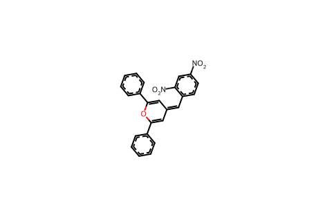 O=[N+]([O-])c1ccc(C=C2C=C(c3ccccc3)OC(c3ccccc3)=C2)c([N+](=O)[O-])c1